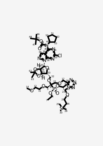 CCOP(=O)(OCC)[C@@](COCCOC)(COCc1nnnn1COCC[Si](C)(C)C)OC[C@H]1O[C@@H](n2ncc3c(N(C(=O)OC(C)(C)C)C4CCCC4)nc(Cl)nc32)[C@@H]2OC(C)(C)O[C@@H]21